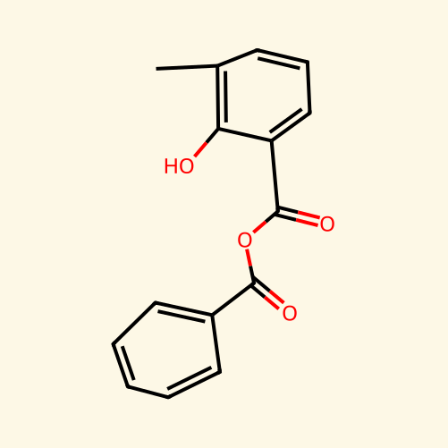 Cc1cccc(C(=O)OC(=O)c2ccccc2)c1O